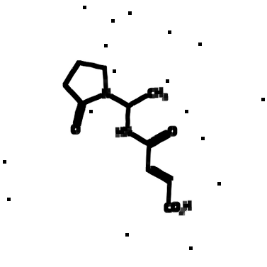 CC(NC(=O)C=CC(=O)O)N1CCCC1=O